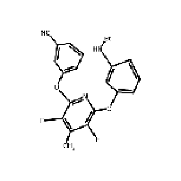 CCNc1cccc(Oc2nc(Oc3cccc(C#N)c3)c(F)c(C)c2F)c1